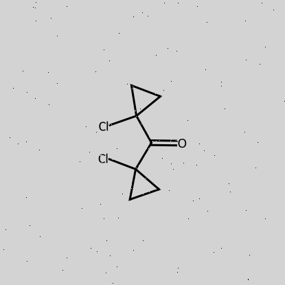 O=C(C1(Cl)CC1)C1(Cl)CC1